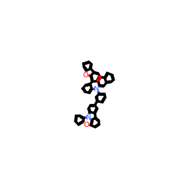 c1cc(-c2ccc3c(c2)c2cccc4c2n3-c2ccccc2O4)cc(N(c2ccc3ccccc3c2)c2ccccc2-c2cccc3c2oc2ccccc23)c1